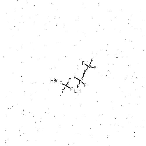 Br.F[B-](F)(F)F.F[B-](F)(F)F.F[B-](F)(F)F.[LiH]